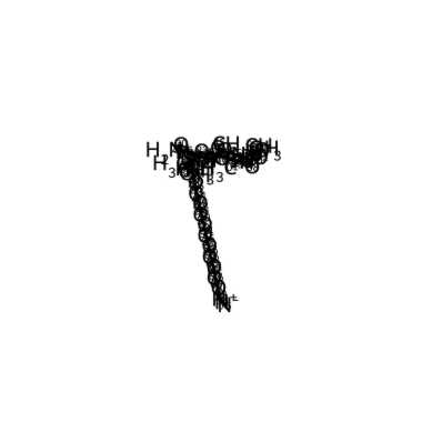 CCc1c2c(nc3ccc(OC(C(=O)OC)c4ccc(NC(=O)[C@H](CCCNC(N)=O)NC(=O)[C@@H](NC(=O)CCOCCOCCOCCOCCOCCOCCOCCOCCOCCOCCOCCN=[N+]=[N-])C(C)C)cc4)cc13)-c1cc3c(c(=O)n1C2)COC(=O)[C@]3(O)CC